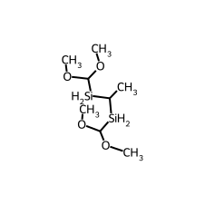 COC(OC)[SiH2]C(C)[SiH2]C(OC)OC